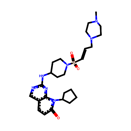 CN1CCN(C/C=C/S(=O)(=O)N2CCC(Nc3ncc4ccc(=O)n(C5CCCC5)c4n3)CC2)CC1